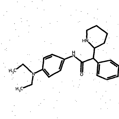 CCN(CC)c1ccc(NC(=O)C(c2ccccc2)C2CCCCN2)cc1